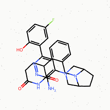 Nc1nnc(-c2cc(F)ccc2O)cc1N1CC2CCC(C1)N2Cc1ccccc1C1CCC(=O)NC1=O